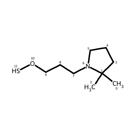 CC1(C)CCCN1CCCOS